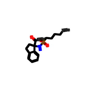 CNCCCCS(=O)(=O)NC1(C(=O)OC)CCc2ccccc21